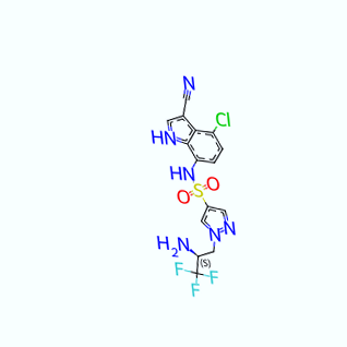 N#Cc1c[nH]c2c(NS(=O)(=O)c3cnn(C[C@H](N)C(F)(F)F)c3)ccc(Cl)c12